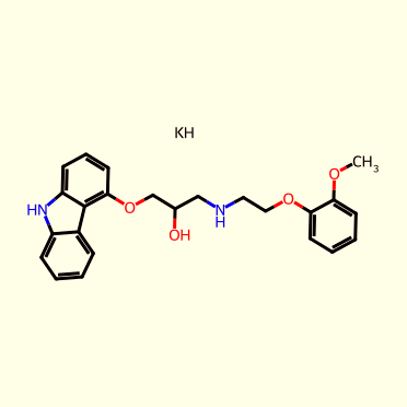 COc1ccccc1OCCNCC(O)COc1cccc2[nH]c3ccccc3c12.[KH]